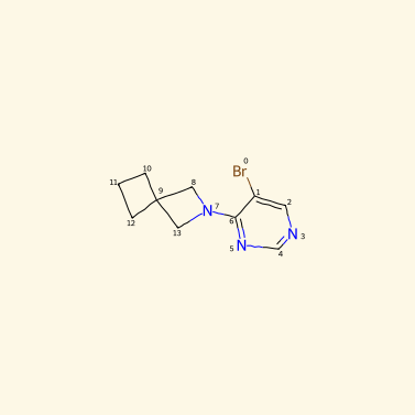 Brc1cncnc1N1CC2(CCC2)C1